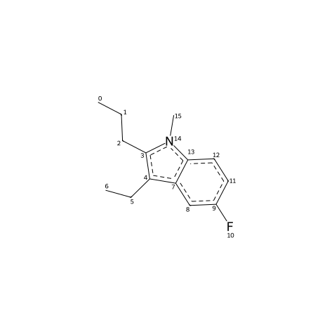 CCCc1c(CC)c2cc(F)ccc2n1C